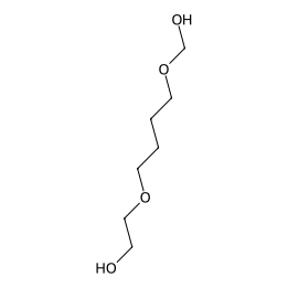 OCCOCCCCOCO